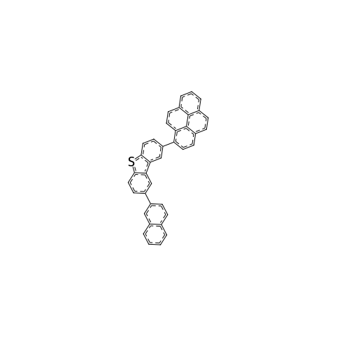 c1ccc2cc(-c3ccc4sc5ccc(-c6ccc7ccc8cccc9ccc6c7c89)cc5c4c3)ccc2c1